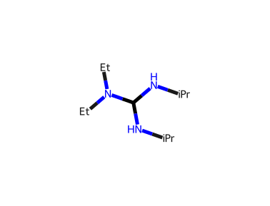 CCN(CC)C(NC(C)C)NC(C)C